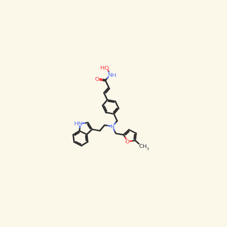 Cc1ccc(CN(CCc2c[nH]c3ccccc23)Cc2ccc(/C=C/C(=O)NO)cc2)o1